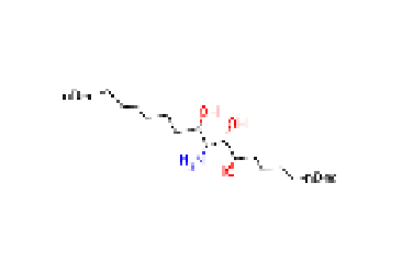 CCCCCCCCCCCCCCCCC(O)[C@H](N)[C@H](O)[C@H](O)CCCCCCCCCCCCCC